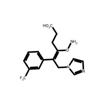 NO/C(CCC(=O)O)=C(\Cn1ccnc1)c1cccc(C(F)(F)F)c1